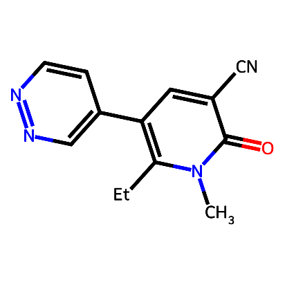 CCc1c(-c2ccnnc2)cc(C#N)c(=O)n1C